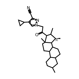 CC1CCC2C(CCC3C2CCC2(C)C(C(=O)Cn4cc(C5CC5)c(C#N)n4)C(C)[C@@H](C)C32)C1